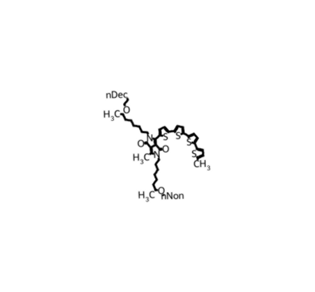 CCCCCCCCCCCCOC(C)CCCCCCN1C(=O)C2=C(C)N(CCCCCCC(C)OCCCCCCCCC)C(=O)C2=C1c1ccc(-c2ccc(-c3ccc(-c4ccc(C)s4)s3)s2)s1